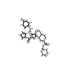 CC1CCN(C(=O)CN2CCOCC2)CC1c1nn(C(=O)c2ccsc2)c(OCc2ccc(F)cc2)c1C#N